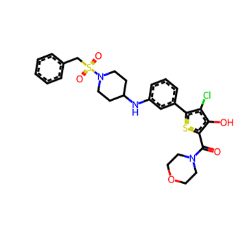 O=C(c1sc(-c2cccc(NC3CCN(S(=O)(=O)Cc4ccccc4)CC3)c2)c(Cl)c1O)N1CCOCC1